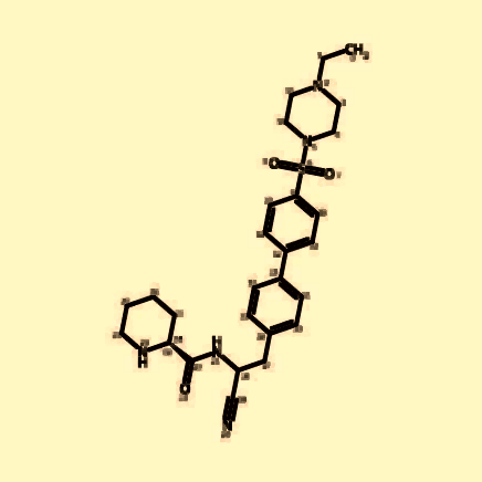 CCN1CCN(S(=O)(=O)c2ccc(-c3ccc(CC(C#N)NC(=O)[C@@H]4CCCCN4)cc3)cc2)CC1